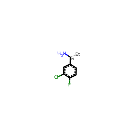 CC[C@@H](N)c1ccc(F)c(Cl)c1